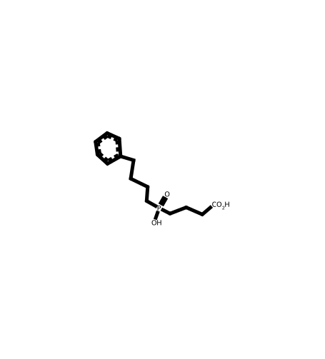 O=C(O)CCCP(=O)(O)CCCCc1ccccc1